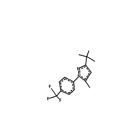 Cc1cc(C(C)(C)C)nn1-c1ccc(C(F)(F)F)cc1